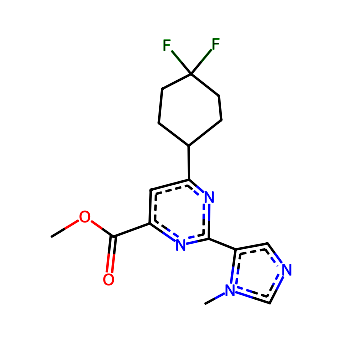 COC(=O)c1cc(C2CCC(F)(F)CC2)nc(-c2cncn2C)n1